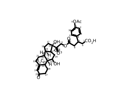 CC(=O)Oc1ccc(C(CC(=O)O)CC(=O)OCC(=O)[C@@]2(O)CC[C@H]3[C@@H]4CCC5=CC(=O)CC[C@]5(C)[C@H]4C(O)C[C@@]32C)cc1